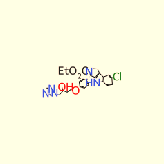 CCOC(=O)N1CCC2=C(NC3C=CC(Cl)=CC23)[C@@H]1c1ccc(OCCC(O)Cn2cncn2)cc1